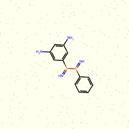 N=S(c1ccccc1)S(=N)c1cc(N)cc(N)c1